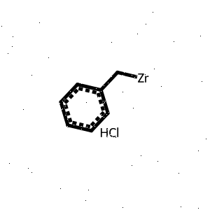 Cl.[Zr][CH2]c1ccccc1